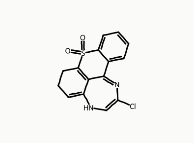 O=S1(=O)C2=C3C(=CCC2)NC=C(Cl)N=C3c2ccccc21